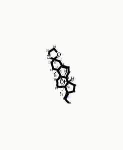 C/C=C1\CC[C@H]2[C@@H]3CC=C4CC5(CC[C@]4(C)[C@@]3(O)CC[C@]12C)OCCO5